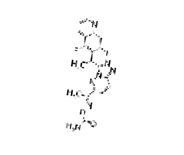 CC(=NOC(N)=O)c1ccc2nnc([C@@H](C)c3c(F)cc4ncccc4c3F)n2n1